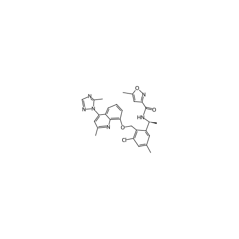 Cc1cc(Cl)c(COc2cccc3c(-n4ncnc4C)cc(C)nc23)c([C@H](C)NC(=O)c2cc(C)on2)c1